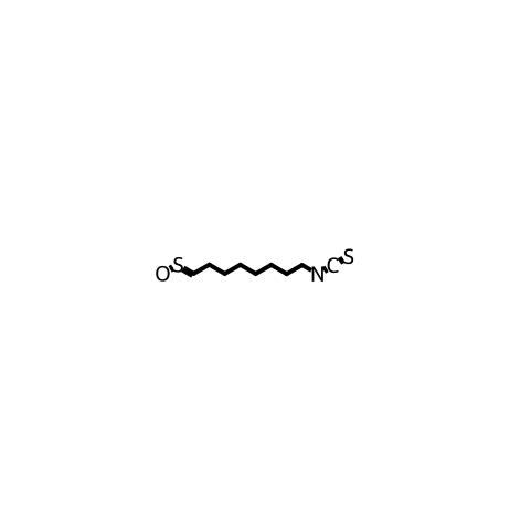 O=S=CCCCCCCCN=C=S